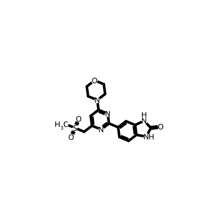 CS(=O)(=O)Cc1cc(N2CCOCC2)nc(-c2ccc3[nH]c(=O)[nH]c3c2)n1